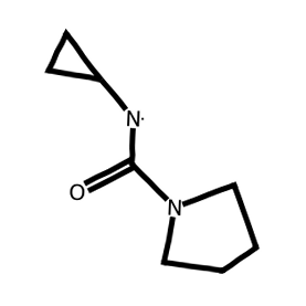 O=C([N]C1CC1)N1CCCC1